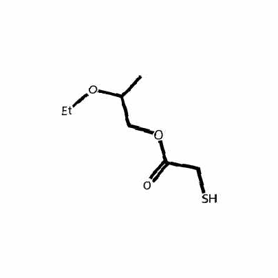 CCOC(C)COC(=O)CS